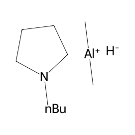 CCCCN1CCCC1.[CH3][Al+][CH3].[H-]